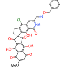 COC1=CC(=O)c2c(O)c3c(c(O)c2C1=O)C(=O)[C@]1(CCc2c1c(O)c1c(=O)[nH]c(C=NOCc4ccccc4)cc1c2Cl)C3=O